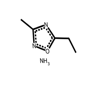 CCc1nc(C)no1.N